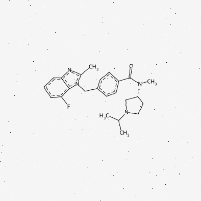 Cc1nc2cccc(F)c2n1Cc1ccc(C(=O)N(C)[C@@H]2CCN(C(C)C)C2)cc1